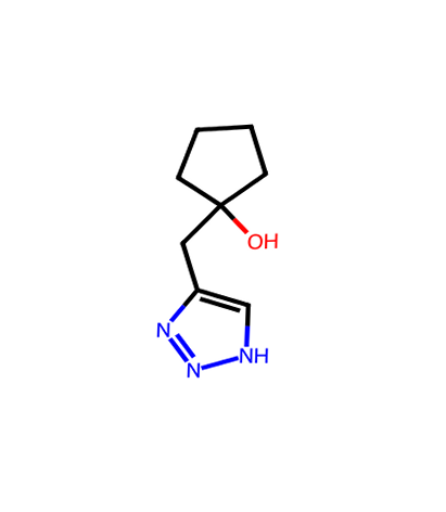 OC1(Cc2c[nH]nn2)CCCC1